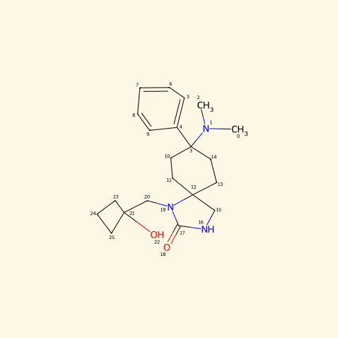 CN(C)C1(c2ccccc2)CCC2(CC1)CNC(=O)N2CC1(O)CCC1